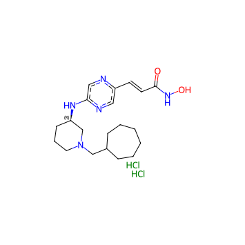 Cl.Cl.O=C(C=Cc1cnc(N[C@@H]2CCCN(CC3CCCCCC3)C2)cn1)NO